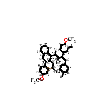 C=C/C=C(\C=C/COC(F)(F)F)C(=C/c1ccc(C)cc1)/C(CC)=C(C)/C(C(=C)CC(Br)CCCC)=c1\cccc\c1=C\Cc1ccc(OC(F)(F)F)cc1